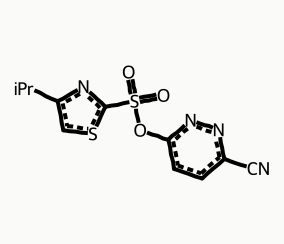 CC(C)c1csc(S(=O)(=O)Oc2ccc(C#N)nn2)n1